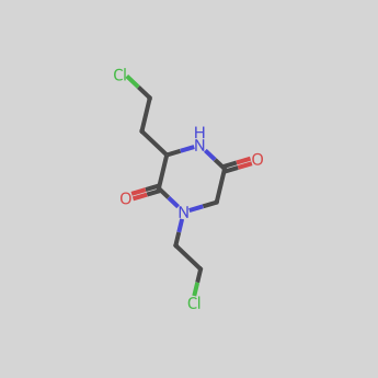 O=C1CN(CCCl)C(=O)C(CCCl)N1